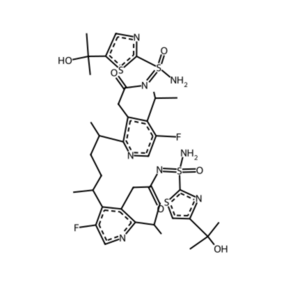 CC(C)c1ncc(F)c(C(C)CCC(C)c2ncc(F)c(C(C)C)c2CC(=O)N=S(N)(=O)c2ncc(C(C)(C)O)s2)c1CC(=O)N=S(N)(=O)c1nc(C(C)(C)O)cs1